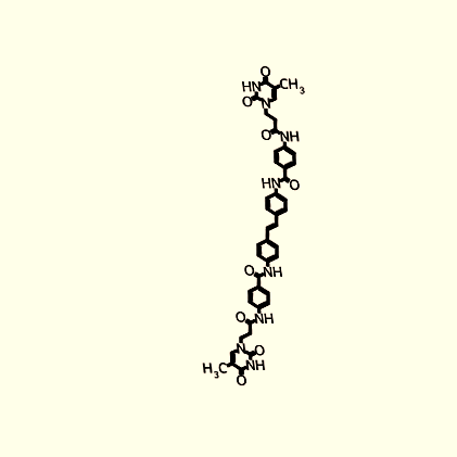 Cc1cn(CCC(=O)Nc2ccc(C(=O)Nc3ccc(/C=C/c4ccc(NC(=O)c5ccc(NC(=O)CCn6cc(C)c(=O)[nH]c6=O)cc5)cc4)cc3)cc2)c(=O)[nH]c1=O